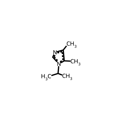 Cc1ncn(C(C)C)c1C